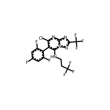 Fc1cc(F)c(-c2c(Cl)nc3nc(C(F)(F)F)nn3c2NCCC(F)(F)F)c(F)c1